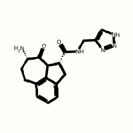 N[C@H]1CCc2cccc3c2C(C1=O)[C@H](C(=O)NCc1c[nH]nn1)C3